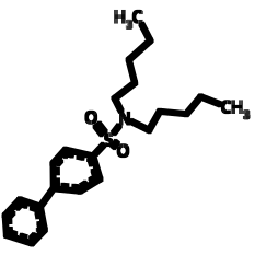 CCCCCN(CCCCC)S(=O)(=O)c1ccc(-c2ccccc2)cc1